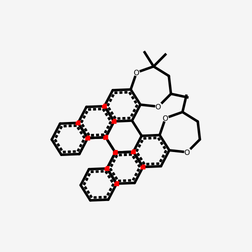 CC1CCOc2ccc(P(c3ccccc3)c3ccccc3)c(-c3c(P(c4ccccc4)c4ccccc4)ccc4c3OC(C)CC(C)(C)O4)c2O1